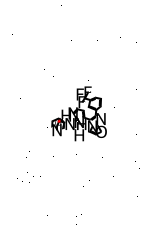 FC(F)(F)c1cccc(-c2nc3occn3c2C2=CC=NC(N[C@@H]3CN4CCC3CC4)N2)c1